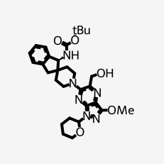 COc1nn(C2CCCCO2)c2nc(N3CCC4(CC3)Cc3ccccc3[C@H]4NC(=O)OC(C)(C)C)c(CO)nc12